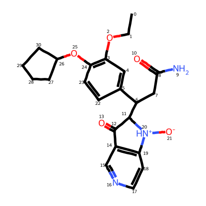 CCOc1cc(C(CC(N)=O)C2C(=O)c3cnccc3[NH+]2[O-])ccc1OC1CCCC1